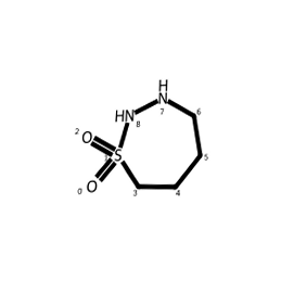 O=S1(=O)CCCCNN1